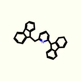 C1=CC2=C(CC1)C(c1cccc(CC3c4ccccc4-c4ccccc43)n1)c1ccccc12